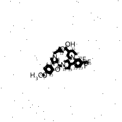 COc1ccc([C@@H]2CN(CC3CC3)C[C@H]2C(=O)N2CCC(c3ccc(C(F)(F)F)cc3N3CCC(C(=O)O)CC3)CC2)cc1